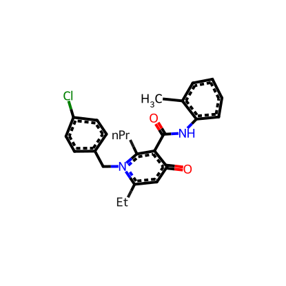 CCCc1c(C(=O)Nc2ccccc2C)c(=O)cc(CC)n1Cc1ccc(Cl)cc1